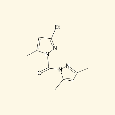 CCc1cc(C)n(C(=O)n2nc(C)cc2C)n1